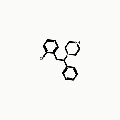 CCc1ccccc1CC(c1ccccc1)N1CCNCC1